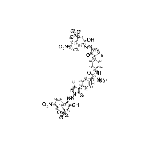 CC1=NN(N=Nc2c(O)cc(S(=O)(=O)[O-])c3cc([N+](=O)[O-])ccc23)C(=O)C1c1ccc(NC(=O)Nc2ccc(C3C(=O)N(N=Nc4c(O)cc(S(=O)(=O)[O-])c5cc([N+](=O)[O-])ccc45)N=C3C)cc2)cc1.[Na+].[Na+]